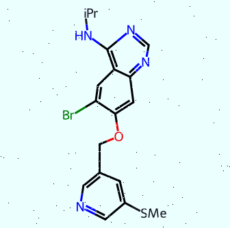 CSc1cncc(COc2cc3ncnc(NC(C)C)c3cc2Br)c1